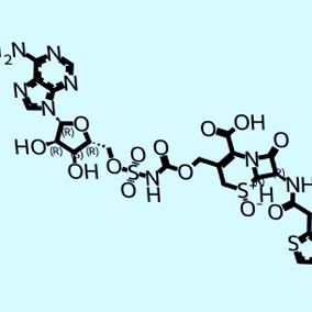 Nc1ncnc2c1ncn2[C@@H]1O[C@H](COS(=O)(=O)NC(=O)OCC2=C(C(=O)O)N3C(=O)[C@@H](NC(=O)Cc4cccs4)[C@H]3[S+]([O-])C2)[C@@H](O)[C@H]1O